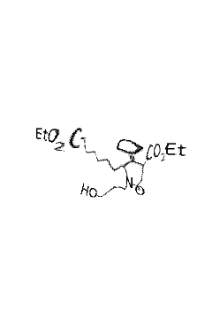 CCOC(=O)CCCCCCC1C(=O)C(C(=O)OCC)CC(=O)N1CCCO